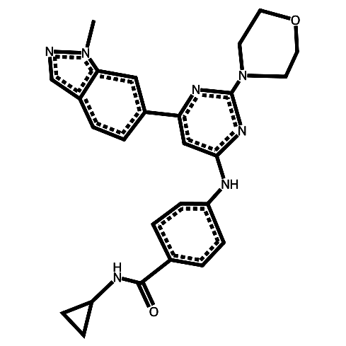 Cn1ncc2ccc(-c3cc(Nc4ccc(C(=O)NC5CC5)cc4)nc(N4CCOCC4)n3)cc21